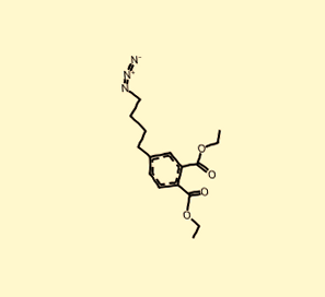 CCOC(=O)c1ccc(CCCCN=[N+]=[N-])cc1C(=O)OCC